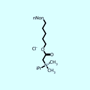 CCCCCCCCCCCCCCOC(=O)C[N+](C)(C)C(C)C.[Cl-]